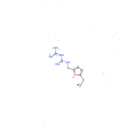 CCc1ccc(CNC(=N)NC(=N)N)o1